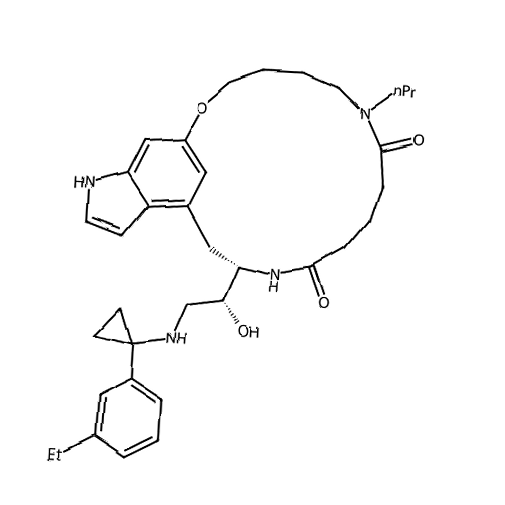 CCCN1CCCCOc2cc(c3cc[nH]c3c2)C[C@@H]([C@H](O)CNC2(c3cccc(CC)c3)CC2)NC(=O)CCCC1=O